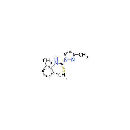 Cc1ccn(C(=S)Nc2c(C)cccc2C)n1